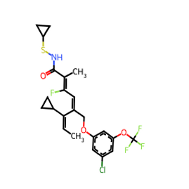 C\C=C(/C(=C\C(F)=C(/C)C(=O)NSC1CC1)COc1cc(Cl)cc(OC(F)(F)F)c1)C1CC1